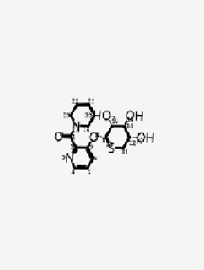 O=C(c1ncccc1O[C@H]1SC[C@@H](O)[C@H](O)[C@H]1O)N1CCCCC1